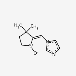 CC1(C)CC[S+]([O-])C1=Cn1ccnc1